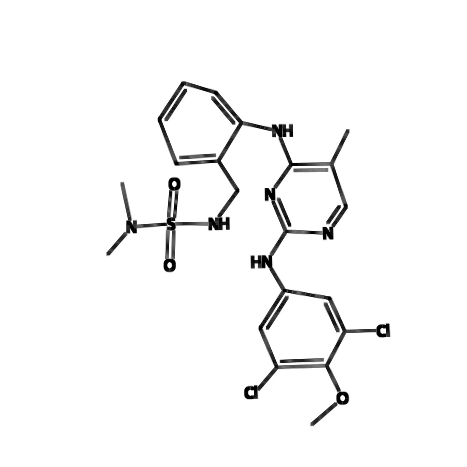 COc1c(Cl)cc(Nc2ncc(C)c(Nc3ccccc3CNS(=O)(=O)N(C)C)n2)cc1Cl